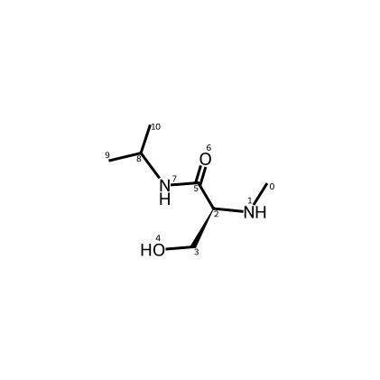 CN[C@@H](CO)C(=O)NC(C)C